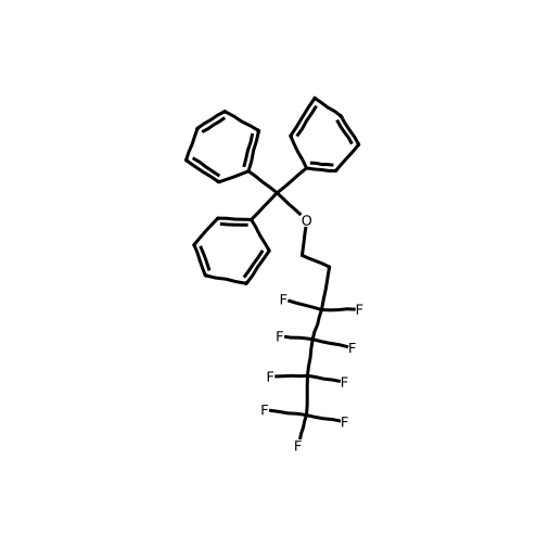 FC(F)(F)C(F)(F)C(F)(F)C(F)(F)CCOC(c1ccccc1)(c1ccccc1)c1ccccc1